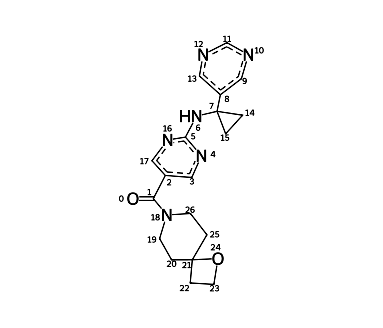 O=C(c1cnc(NC2(c3cncnc3)CC2)nc1)N1CCC2(CCO2)CC1